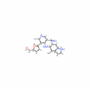 Cc1ncc(C#N)c(Nc2ccc3[nH]ccc3c2C)c1-c1ccc(C=O)o1